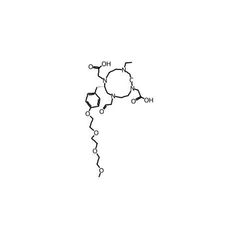 CCN1CCN(CC(=O)O)CCN(CC=O)C[C@H](Cc2ccc(OCCOCCOCCOC)cc2)N(CC(=O)O)CC1